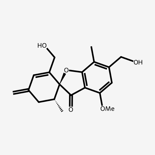 C=C1C=C(CO)[C@@]2(Oc3c(C)c(CO)cc(OC)c3C2=O)[C@H](C)C1